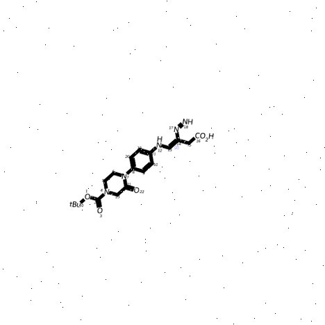 CC(C)(C)OC(=O)N1CCN(c2ccc(N/C=C(/CC(=O)O)N=N)cc2)C(=O)C1